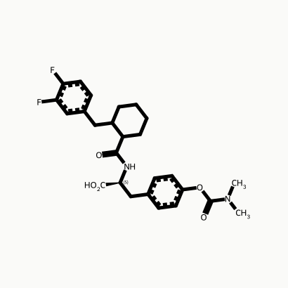 CN(C)C(=O)Oc1ccc(C[C@H](NC(=O)C2CCCCC2Cc2ccc(F)c(F)c2)C(=O)O)cc1